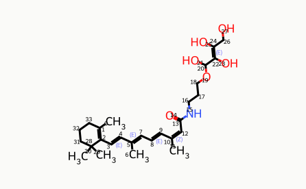 CC1=C(/C=C/C(C)=C/C=C/C(C)=C\C(=O)NCCCOC(O)/C(O)=C(\O)CO)C(C)(C)CCC1